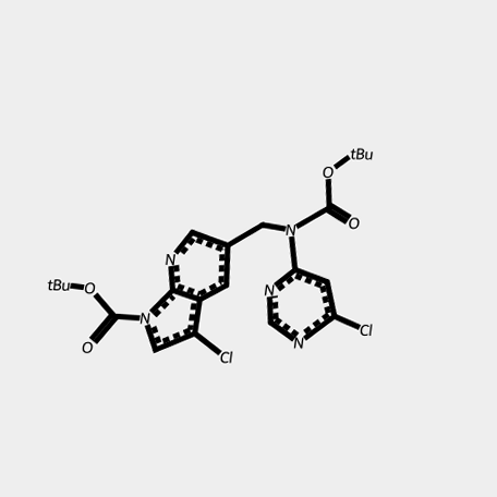 CC(C)(C)OC(=O)N(Cc1cnc2c(c1)c(Cl)cn2C(=O)OC(C)(C)C)c1cc(Cl)ncn1